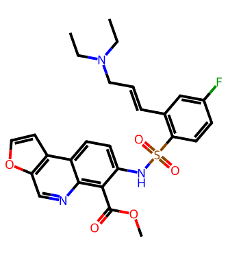 CCN(CC)CC=Cc1cc(F)ccc1S(=O)(=O)Nc1ccc2c(ncc3occc32)c1C(=O)OC